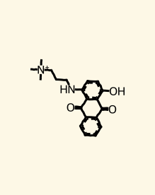 C[N+](C)(C)CCCNc1ccc(O)c2c1C(=O)c1ccccc1C2=O